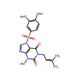 CCCCn1c(=O)n(CC=C(C)C)c(=O)c2c1ncn2S(=O)(=O)c1ccc(OC)c(OC)c1